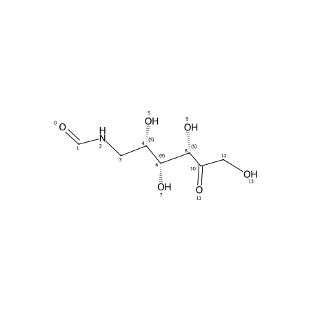 O=CNC[C@H](O)[C@@H](O)[C@H](O)C(=O)CO